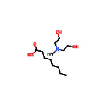 CCCCCCCC(=O)O.CCCN(CCO)CCO